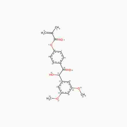 C=C(C)C(=O)Oc1ccc(C(=O)C(O)c2cc(OC)cc(OC)c2)cc1